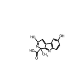 CC1(C(=O)O)N=C(O)C=C2C1=Nc1ccc(O)cc12